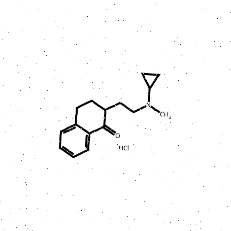 CN(CCC1CCc2ccccc2C1=O)C1CC1.Cl